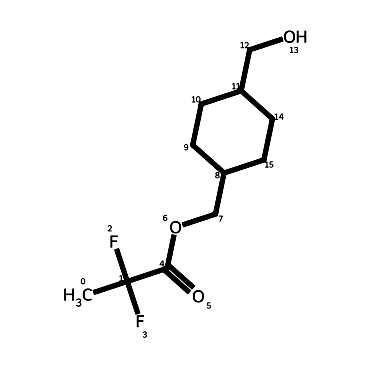 CC(F)(F)C(=O)OCC1CCC(CO)CC1